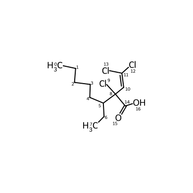 CCCCCC(CC)C(Cl)(C=C(Cl)Cl)C(=O)O